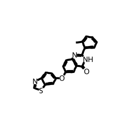 Cc1ccccc1-c1nc2ccc(Oc3ccc4ncsc4c3)cc2c(=O)[nH]1